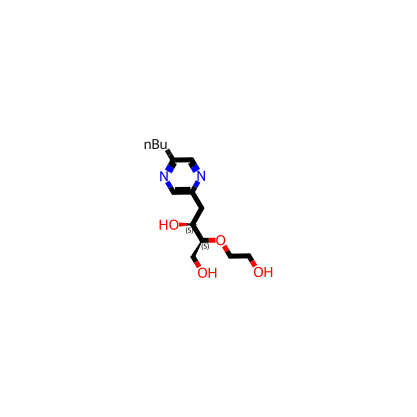 CCCCc1cnc(C[C@H](O)[C@H](CO)OCCO)cn1